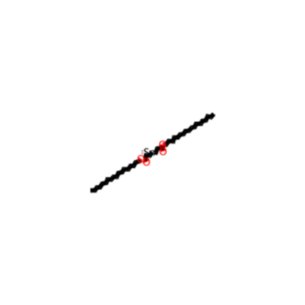 CCCCCCCCCCCCCCCCCCOC(=O)C[CH2][Sn][CH2]CC(=O)OCCCCCCCCCCCCCCCCCC